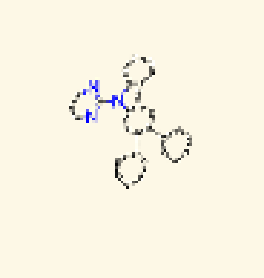 c1ccc(-c2cc3c4ccccc4n(-c4ncccn4)c3cc2-c2ccccc2)cc1